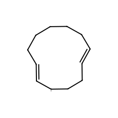 [CH]1/C=C/CCCCC/C=C/CC1